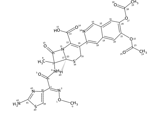 CON=C(C(=O)NC1(C)C(=O)N2C(C(=O)O)=C(c3cc4cc(OC(C)=O)c(OC(C)=O)cc4cn3)CS[C@H]21)c1csc(N)n1